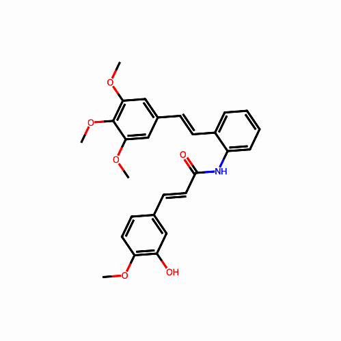 COc1ccc(/C=C/C(=O)Nc2ccccc2/C=C/c2cc(OC)c(OC)c(OC)c2)cc1O